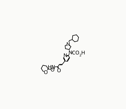 O=C(C=Cc1ccc(N(C(=O)O)[C@@H]2CCN(CC3CCCCC3)C2)nc1)NOC1CCCCO1